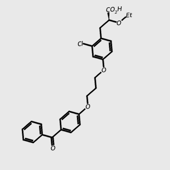 CCO[C@@H](Cc1ccc(OCCCOc2ccc(C(=O)c3ccccc3)cc2)cc1Cl)C(=O)O